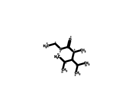 CCOC(=O)N(C)C(C(C)C)C(C)C